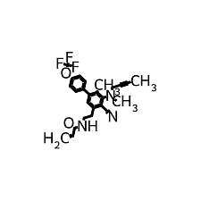 C=CC(=O)NCCc1cc(-c2ccc(OC(F)(F)F)cc2)c(C)c(N(C)CC#CC)c1C#N